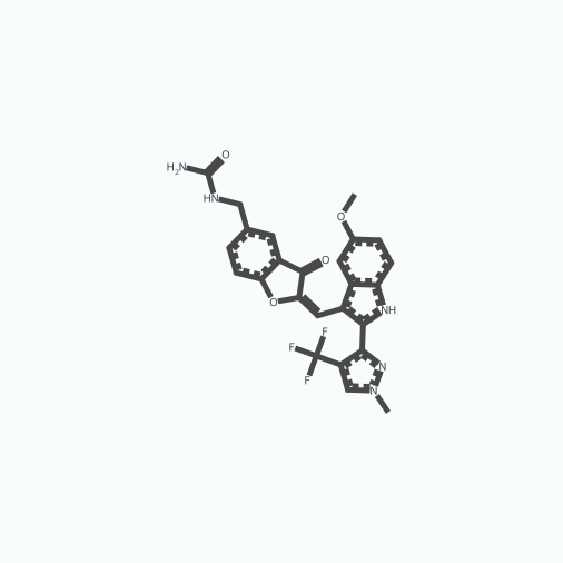 COc1ccc2[nH]c(-c3nn(C)cc3C(F)(F)F)c(C=C3Oc4ccc(CNC(N)=O)cc4C3=O)c2c1